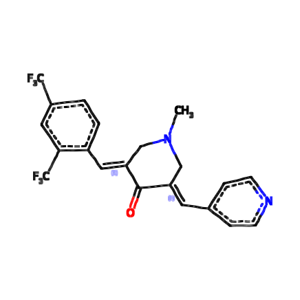 CN1C/C(=C\c2ccncc2)C(=O)/C(=C/c2ccc(C(F)(F)F)cc2C(F)(F)F)C1